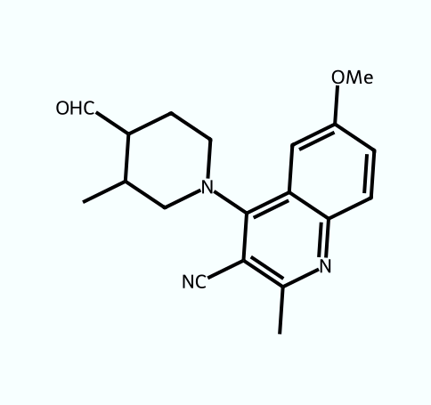 COc1ccc2nc(C)c(C#N)c(N3CCC(C=O)C(C)C3)c2c1